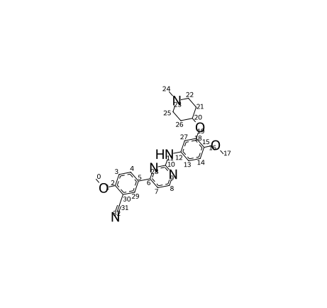 COc1ccc(-c2ccnc(Nc3ccc(OC)c(OC4CCN(C)CC4)c3)n2)cc1C#N